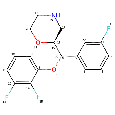 Fc1cccc([C@H](Oc2cccc(F)c2F)[C@@H]2CNCCO2)c1